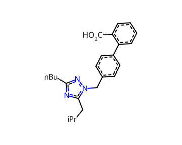 CCCCc1nc(CC(C)C)n(Cc2ccc(-c3ccccc3C(=O)O)cc2)n1